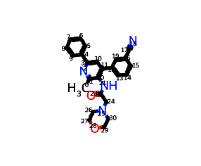 Cc1nc(-c2ccccc2)cc(-c2cccc(C#N)c2)c1NC(=O)CN1CCOCC1